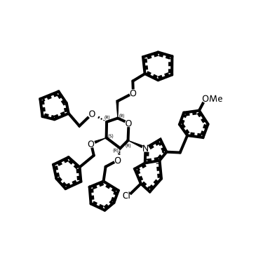 COc1ccc(Cc2cn([C@@H]3O[C@H](COCc4ccccc4)[C@@H](OCc4ccccc4)[C@H](OCc4ccccc4)[C@H]3OCc3ccccc3)c3cc(Cl)ccc23)cc1